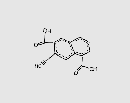 C#Cc1cc2c(C(=O)O)cccc2cc1C(=O)O